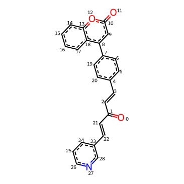 O=C(C=Cc1ccc(-c2cc(=O)oc3ccccc23)cc1)C=Cc1cccnc1